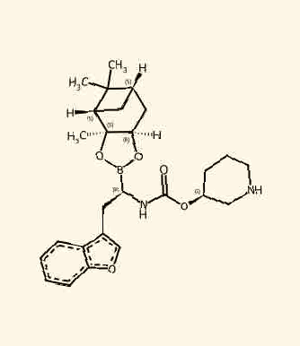 CC1(C)[C@@H]2C[C@H]3OB([C@H](Cc4coc5ccccc45)NC(=O)O[C@H]4CCCNC4)O[C@@]3(C)[C@H]1C2